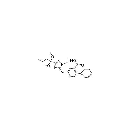 CCCC(OC)(OC)c1nc(Cc2ccc(-c3ccccc3)c(C(=O)O)c2)n(CC)n1